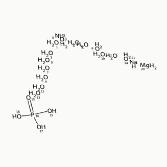 N.O.O.O.O.O.O.O.O.O.O.O.O.O.O.O=P(O)(O)O.[MgH2].[NaH]